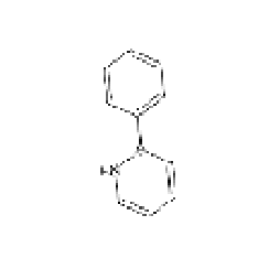 C1=CNB(c2ccccc2)C=C1